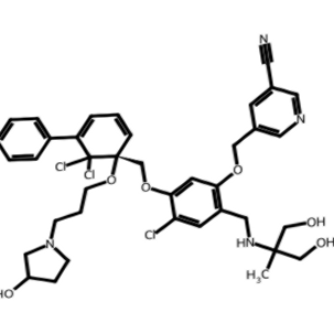 CC(CO)(CO)NCc1cc(Cl)c(OC[C@]2(OCCCN3CCC(O)C3)C=CC=C(c3ccccc3)C2(Cl)Cl)cc1OCc1cncc(C#N)c1